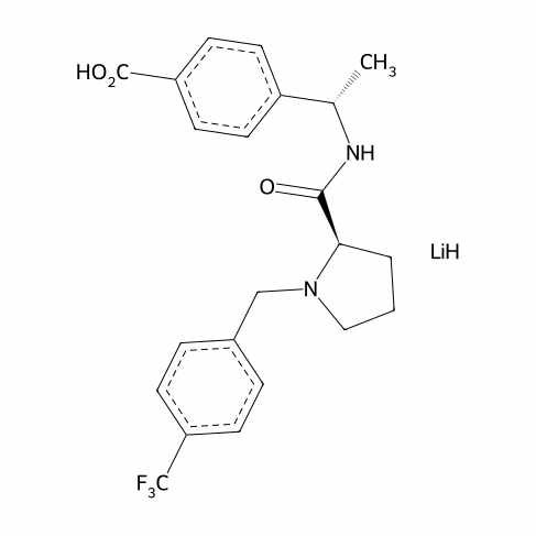 C[C@H](NC(=O)[C@H]1CCCN1Cc1ccc(C(F)(F)F)cc1)c1ccc(C(=O)O)cc1.[LiH]